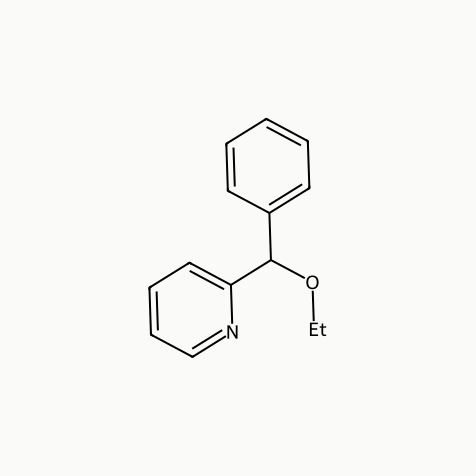 CCOC(c1ccccc1)c1ccccn1